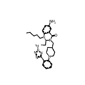 [3H]n1nnc(-c2ccccc2N2CCC(CN3C(=O)c4cc(N)ccc4N(CCCCC)C3CC)CC2)n1